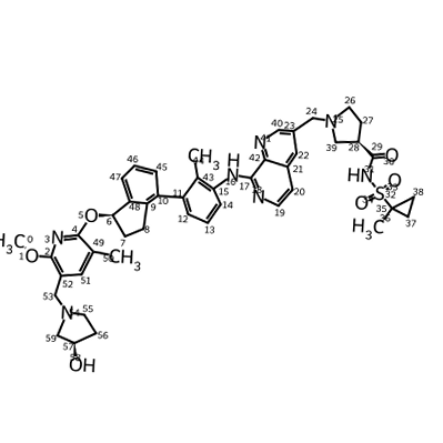 COc1nc(O[C@@H]2CCc3c(-c4cccc(Nc5nccc6cc(CN7CC[C@@H](C(=O)NS(=O)(=O)C8(C)CC8)C7)cnc56)c4C)cccc32)c(C)cc1CN1CC[C@@H](O)C1